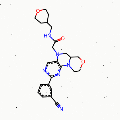 N#Cc1cccc(-c2ncc3c(n2)N2CCOCC2CN3CC(=O)NCC2CCOCC2)c1